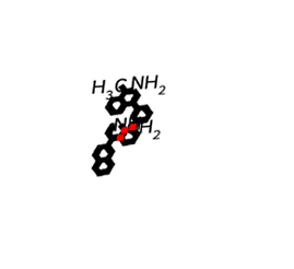 C=C/C=C(\C=C/Nc1ccccc1-c1cccc(C2=CC(N)=C(C)C3CC=CC=C23)c1)c1ccc2ccccc2c1